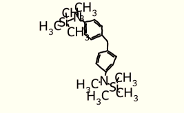 CN(c1ccc(Cc2ccc(N(C)[Si](C)(C)C)cc2)cc1)[Si](C)(C)C